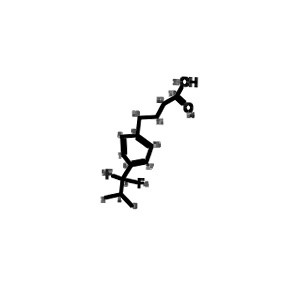 CC(C)C(F)(F)c1ccc(CCCC(=O)O)cc1